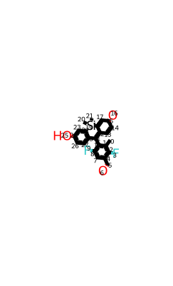 Cc1c(F)c(C=O)cc(F)c1C1=C2C=CC(=O)C=C2[Si](C)(C)c2cc(O)ccc21